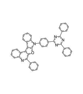 c1ccc(-c2nc(-c3ccccc3)nc(-c3ccc(-n4c5ccccc5c5c6c(oc54)c(-c4ccccc4)nc4ccccc46)cc3)n2)cc1